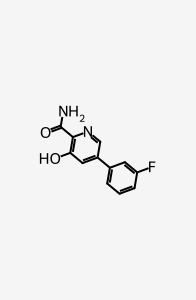 NC(=O)c1ncc(-c2cccc(F)c2)cc1O